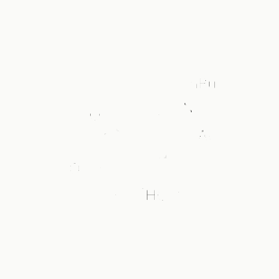 CCCCN(CC1=CC=CC(=O)C1=O)C(C)=O.Cl